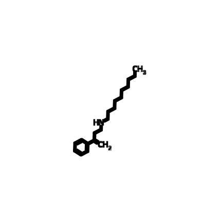 C=C(CCNCCCCCCCCCC)c1ccccc1